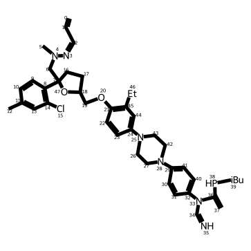 C=C/C=N\N(C)CC1(c2ccc(C)cc2Cl)CCC(COc2ccc(N3CCN(c4ccc(N(C=N)C(=C)PC(C)CC)cc4)CC3)cc2CC)O1